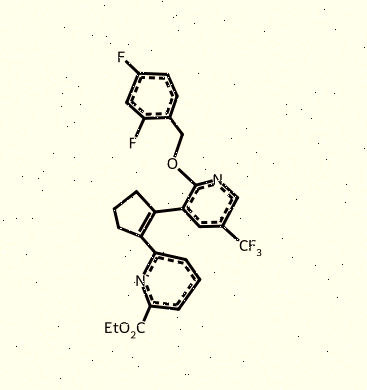 CCOC(=O)c1cccc(C2=C(c3cc(C(F)(F)F)cnc3OCc3ccc(F)cc3F)CCC2)n1